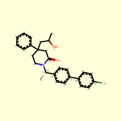 CC(O)CC1(c2ccccc2)CCN([C@@H](C)c2ccc(-c3ccc(F)cc3)cc2)C(=O)C1